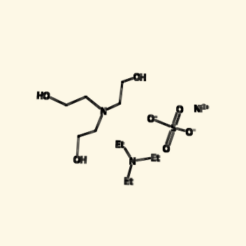 CCN(CC)CC.O=S(=O)([O-])[O-].OCCN(CCO)CCO.[Ni+2]